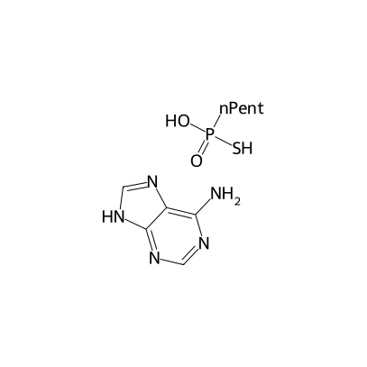 CCCCCP(=O)(O)S.Nc1ncnc2[nH]cnc12